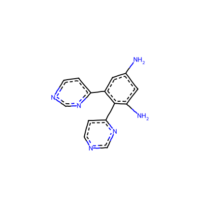 Nc1cc(N)c(-c2ccncn2)c(-c2ccncn2)c1